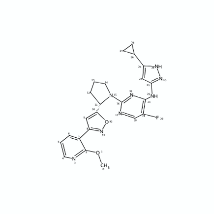 COc1ncccc1-c1cc([C@@H]2CCCN2c2ncc(F)c(Nc3cc(C4CC4)[nH]n3)n2)on1